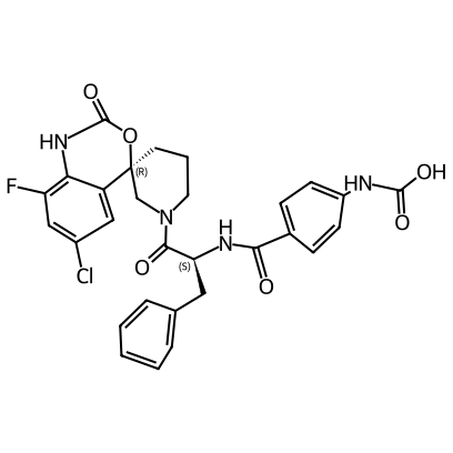 O=C(O)Nc1ccc(C(=O)N[C@@H](Cc2ccccc2)C(=O)N2CCC[C@@]3(C2)OC(=O)Nc2c(F)cc(Cl)cc23)cc1